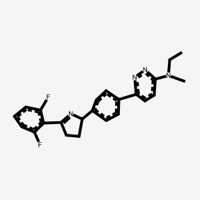 CCN(C)c1ccc(-c2ccc(C3CCC(c4c(F)cccc4F)=N3)cc2)nn1